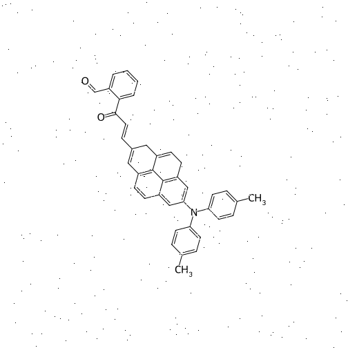 Cc1ccc(N(c2ccc(C)cc2)c2cc3c4c5c(ccc4c2)C=C(C=CC(=O)c2ccccc2C=O)CC5=CC3)cc1